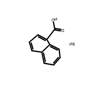 O=C(O)c1cccc2ccccc12.[Hg]